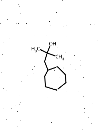 CC(C)(O)CC1CCCCCC1